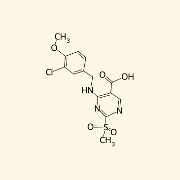 COc1ccc(CNc2nc(S(C)(=O)=O)ncc2C(=O)O)cc1Cl